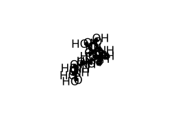 O=C(O)CC[C@H](NC(=O)N[C@@H](CCC(=O)NCCNC(=O)CC[C@@H](NC(=O)C(Cc1ccccc1)NC(=O)C(Cc1ccccc1)NC(=O)CN1CCN(CC(=O)O)CCN(CC(=O)O)CCN(CC(=O)O)CC1)C(=O)O)C(=O)O)C(=O)O